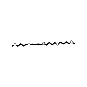 COCCCCOCCCCOCCCCOCCCCOC